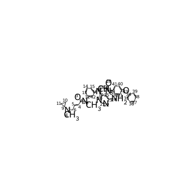 CN(C(=O)/C=C/CN(C)C1CC1)c1cccc(N(C)c2ncnc(N)c2N(C=O)c2ccc(Oc3ccccc3)cc2)c1